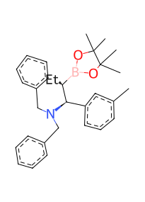 CC[C@@H](B1OC(C)(C)C(C)(C)O1)[C@@H](c1cccc(C)c1)N(Cc1ccccc1)Cc1ccccc1